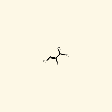 FC(=CC(F)(F)F)C(C(F)(F)F)C(F)(F)F